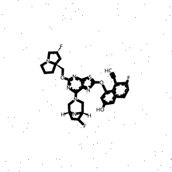 C#Cc1c(F)ccc2cc(O)cc(Oc3nc4c(N5C[C@H]6CC(F)[C@@H](C5)N6)nc(OC[C@@]56CCCN5C[C@H](F)C6)nc4s3)c12